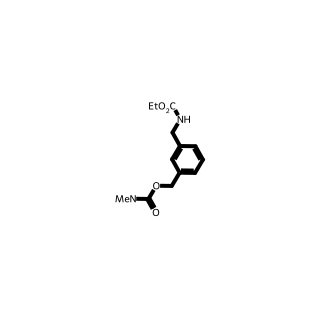 CCOC(=O)NCc1cccc(COC(=O)NC)c1